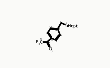 CCCCCCCCc1ccc(C(=O)C(F)(F)F)cc1